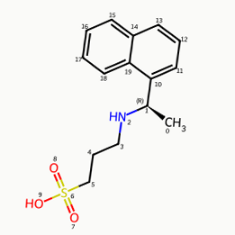 C[C@@H](NCCCS(=O)(=O)O)c1cccc2ccccc12